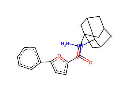 NC(=O)C12CC3CC(C1)C(NC(=O)c1ccc(-c4ccccc4)o1)C(C3)C2